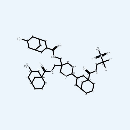 CC1CC2CC(C1)CC(C(=O)OCC1(COC(=O)C34CCCC(CC(C)C3)C4)COC(C3CC4CCCC(C(=O)OCC(F)(F)S(=O)(=O)O)(C4)C3)OC1)C2